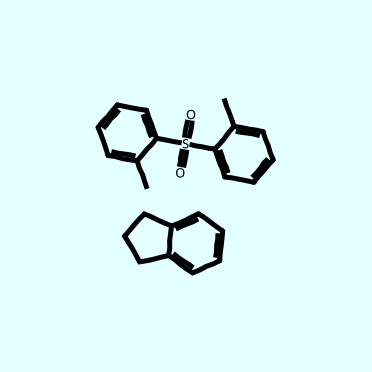 Cc1ccccc1S(=O)(=O)c1ccccc1C.c1ccc2c(c1)CCC2